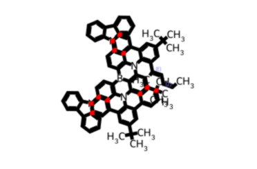 C/C=C\C=C(/C)c1cc(C(C)(C)C)cc(-c2ccccc2)c1N1c2cc(-n3c4ccccc4c4ccccc43)ccc2B2c3ccc(-n4c5ccccc5c5ccccc54)cc3N(c3c(-c4ccccc4)cc(C(C)(C)C)cc3-c3ccccc3)c3cc(C(C)(C)C)cc1c32